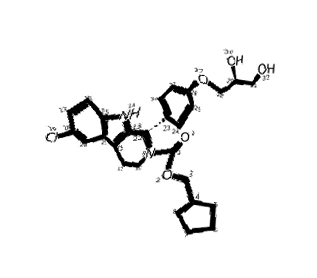 O=C(OCC1CCCC1)N1CCc2c([nH]c3ccc(Cl)cc23)[C@@H]1c1ccc(OC[C@@H](O)CO)cc1